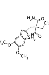 CCC(Cc1cc2cc(OC)c(OC)cc2s1)(C(N)=O)C(N)=O